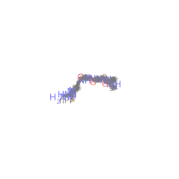 CCCSc1nc(NCCN)c2nnn(Cc3ccc(C#CCNC(=O)C4CCN(CCNC(=O)c5ccc(-c6csc(N7N=C(c8ccccc8)/C(=N\Nc8nccs8)C7=O)n6)cc5)CC4)cc3)c2n1